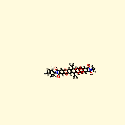 Cc1c(C)c(C(C)(C)C)c(C)c(C)c1-n1c(=O)c2cc3oc4cc5c(cc4oc3cc2c1=O)C1(C(C)C)c2cc3ccccc3cc2C5(C(C)C)c2cc3oc4cc5c(=O)n(C(C)(C)C)c(=O)c5cc4oc3cc21